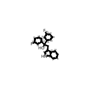 OC(Cc1c[nH]c2ccccc12)(c1cccc(F)c1)c1cccc(F)c1